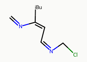 C=N/C(=C\C=N/CCl)C(C)CC